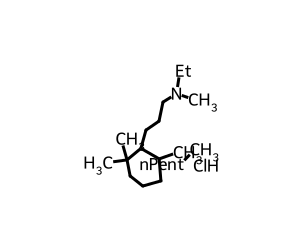 CCCCCC.CCN(C)CCCC1C(C)CCCC1(C)C.Cl